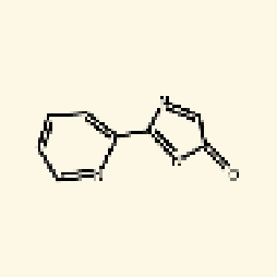 O=C1C=NC(c2ccccn2)=N1